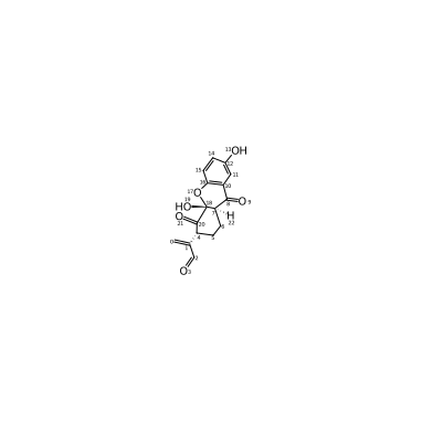 C=C(C=O)[C@H]1CC[C@@H]2C(=O)c3cc(O)ccc3O[C@@]2(O)C1=O